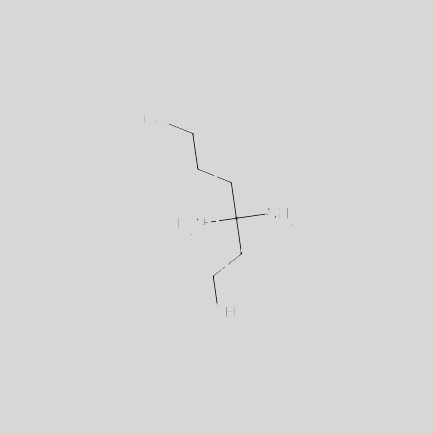 CCCCC(N)(N)CCO